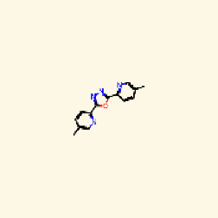 Cc1ccc(-c2nnc(-c3ccc(C)cn3)o2)nc1